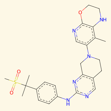 Cc1c(N2CCc3cnc(Nc4ccc(C(C)(C)S(C)(=O)=O)cc4)nc3C2)cnc2c1NCCO2